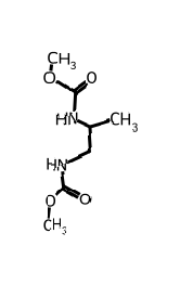 COC(=O)NCC(C)NC(=O)OC